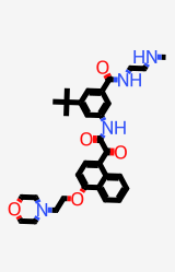 CNCCNC(=O)c1cc(NC(=O)C(=O)c2ccc(OCCN3CCOCC3)c3ccccc23)cc(C(C)(C)C)c1